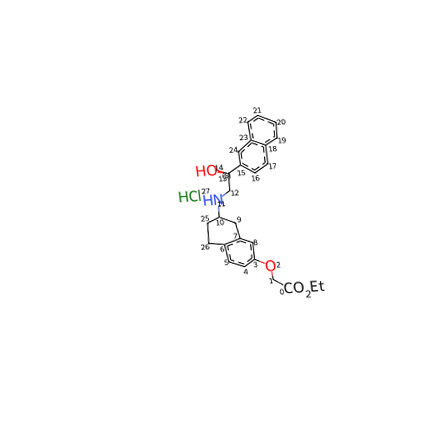 CCOC(=O)COc1ccc2c(c1)CC(NC[C@@H](O)c1ccc3ccccc3c1)CC2.Cl